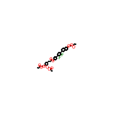 C=CC(=O)OCOc1ccc2cc(-c3ccc(-c4ccc(OC(=O)CCc5ccc(OCOC(=O)C=C)c(OCOC(=O)C=C)c5)cc4)c(F)c3F)ccc2c1